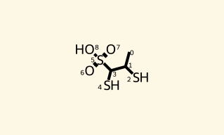 CC(S)C(S)S(=O)(=O)O